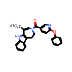 CCOC(=O)C1=CN(C(=O)c2ccc(Oc3ccccc3)nc2)CCc2c1[nH]c1ccccc21